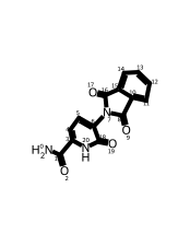 NC(=O)c1ccc(N2C(=O)c3ccccc3C2=O)c(=O)[nH]1